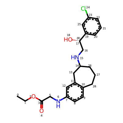 CCOC(=O)CNc1ccc2c(c1)CC(NC[C@H](O)c1cccc(Cl)c1)CCC2